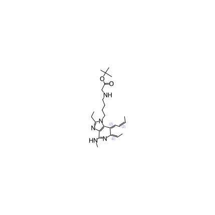 C\C=C/C=c1\c(=C/C)nc(NC)c2nc(CC)n(CCCCNCC(=O)OC(C)(C)C)c12